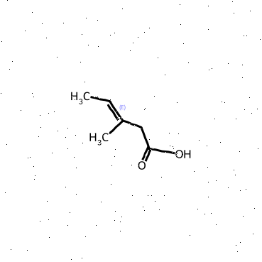 C/C=C(\C)CC(=O)O